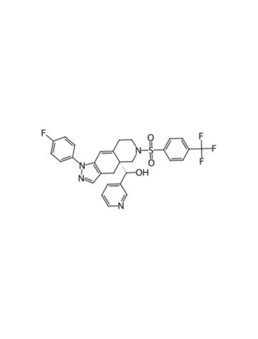 O=S(=O)(c1ccc(C(F)(F)F)cc1)N1CCC2=Cc3c(cnn3-c3ccc(F)cc3)C[C@]2(C(O)c2cccnc2)C1